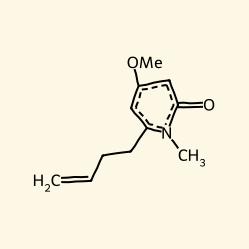 C=CCCc1cc(OC)cc(=O)n1C